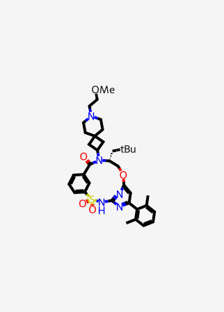 COCCN1CCC2(CC1)CC(N1C(=O)c3cccc(c3)S(=O)(=O)Nc3nc(cc(-c4c(C)cccc4C)n3)OC[C@H]1CC(C)(C)C)C2